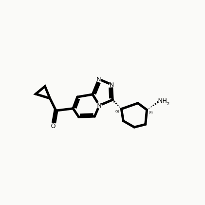 N[C@@H]1CCC[C@H](c2nnc3cc(C(=O)C4CC4)ccn23)C1